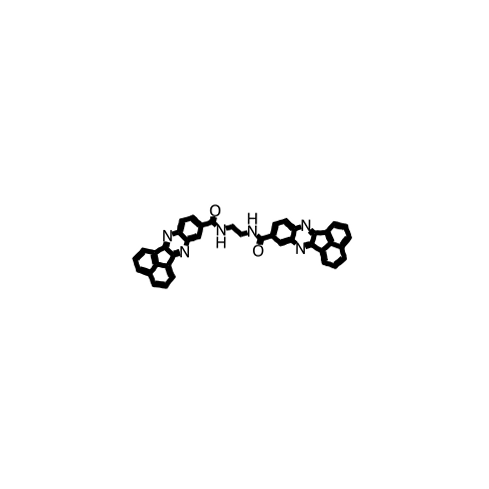 O=C(NCCNC(=O)c1ccc2nc3c(nc2c1)-c1cccc2cccc-3c12)c1ccc2nc3c(nc2c1)-c1cccc2cccc-3c12